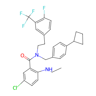 CCNc1ccc(Cl)cc1C(=O)N(CCc1ccc(F)c(C(F)(F)F)c1)Cc1ccc(C2CCC2)cc1